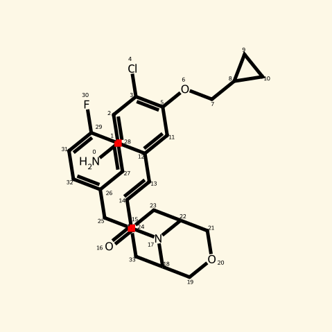 Nc1cc(Cl)c(OCC2CC2)cc1/C=C/C(=O)N1C2COCC1CN(Cc1ccc(F)cc1)C2